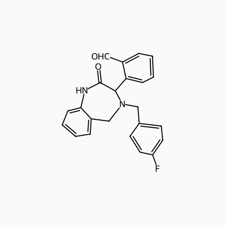 O=Cc1ccccc1C1C(=O)Nc2ccccc2CN1Cc1ccc(F)cc1